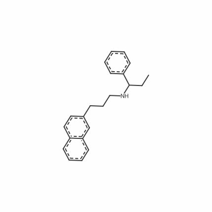 CCC(NCCCc1ccc2ccccc2c1)c1ccccc1